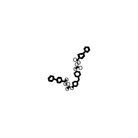 O=C(OOC(=O)c1ccc(-c2ccccc2)cc1)OC1CCC(CC2CCC(OC(=O)OOC(=O)c3ccc(-c4ccccc4)cc3)CC2)CC1